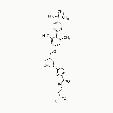 CCC(CCc1ccc(C(=O)NCCC(=O)O)s1)COc1cc(C)c(-c2ccc(C(C)(C)C)cc2)c(C)c1